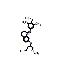 COCC(COC)Oc1ccc2c(c1)/C(=N/c1cc(C)c(OC)c(C)c1)CCC2